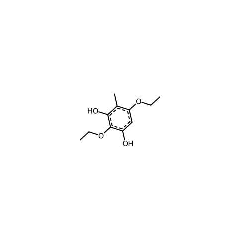 CCOc1cc(O)c(OCC)c(O)c1C